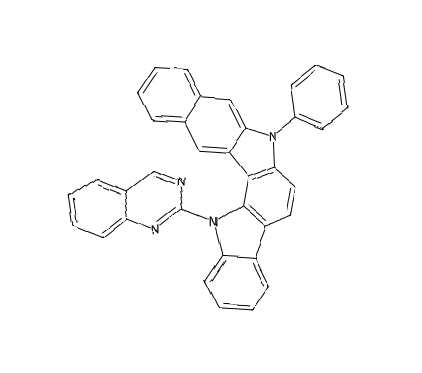 c1ccc(-n2c3cc4ccccc4cc3c3c2ccc2c4ccccc4n(-c4ncc5ccccc5n4)c23)cc1